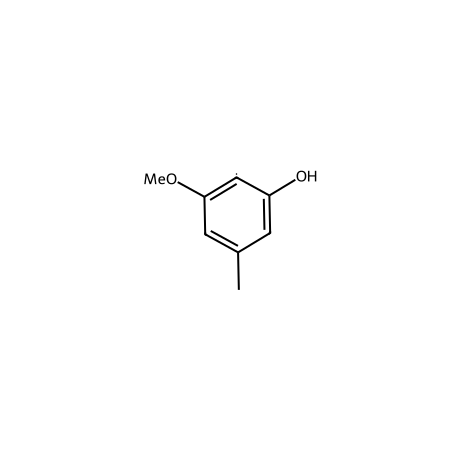 COc1[c]c(O)cc(C)c1